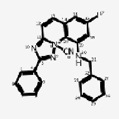 N#C[N+]12N=C(c3ccccc3)N=C1C=Cc1cc(I)cc(NCc3ccccc3)c12